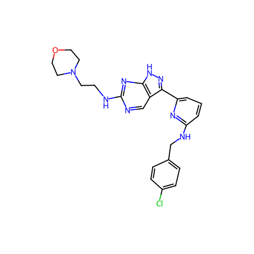 Clc1ccc(CNc2cccc(-c3n[nH]c4nc(NCCN5CCOCC5)ncc34)n2)cc1